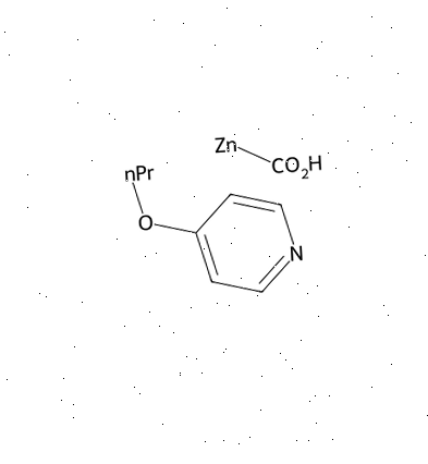 CCCOc1ccncc1.O=[C](O)[Zn]